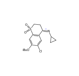 CC(C)COc1cc2c(cc1Cl)/C(=N\C1CC1)CCS2(=O)=O